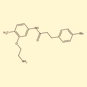 Cc1ccc(NC(=O)CCc2ccc(C(C)(C)C)cc2)cc1OCCN